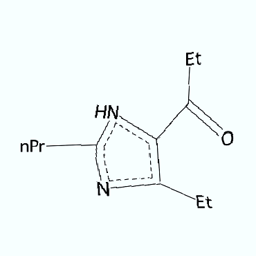 CCCc1nc(CC)c(C(=O)CC)[nH]1